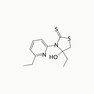 CCc1cccc(N2C(=S)SCC2(O)CC)n1